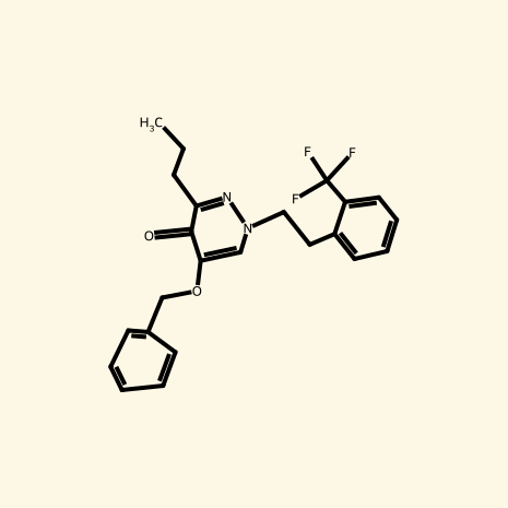 CCCc1nn(CCc2ccccc2C(F)(F)F)cc(OCc2ccccc2)c1=O